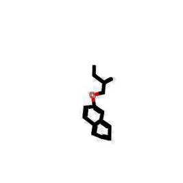 CCC(C)COc1ccc2ccccc2c1